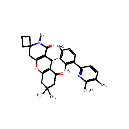 CCN1C(=O)C2=C(CC13CCC3)OC1=C(C(=O)CC(C)(C)C1)[C@H]2c1c(OC)ccc(-c2ccc(C)c(C(=O)O)n2)c1C